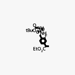 CCOC(=O)C(C)c1ccc(CNS(=O)(=O)NC(=O)OC(C)(C)C)c(F)c1